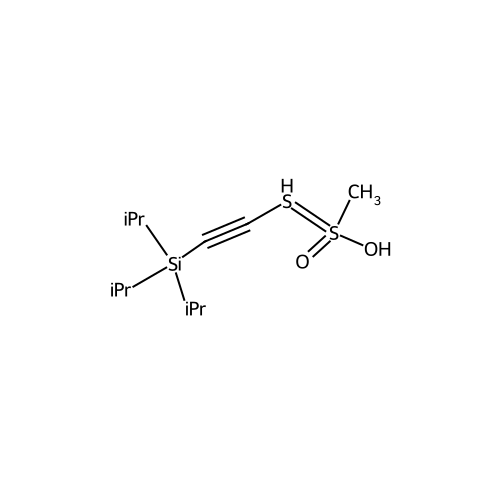 CC(C)[Si](C#C[SH]=S(C)(=O)O)(C(C)C)C(C)C